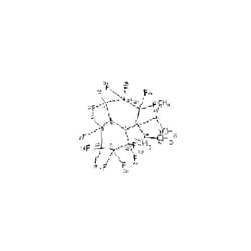 CC(C)C1(C(C)C)C2C(C(F)(F)C(F)(F)C(F)(F)C2(F)F)C(F)(F)C(F)(F)C1(F)F